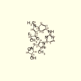 Cc1nn(-c2ccnc(Nc3ccc4c(c3)c(C(=O)C(C)F)cn4C)n2)cc1CN1CC(O)CO1